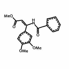 COC(=O)C=C(NC(=O)c1ccccc1)c1ccc(OC)c(OC)c1